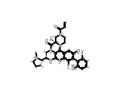 C=CC(=O)N1CCN2c3c4c(nc5c(F)c(-c6c(O)cccc6F)c(Cl)cc35)O[C@@H]([C@@H]3CCCN3C)CN4C(=O)[C@H]2C1